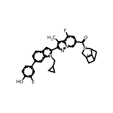 Cc1c(-c2cc3ccc(-c4ccc(O)c(F)c4)cc3n2CC2CC2)nn2cc(C(=O)N3CC4CC5CC3[C@H]54)cc(F)c12